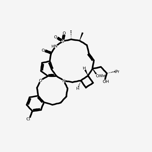 CO[C@]1(C[C@@H](O)C(C)C)/C=C/C[C@H](C)[C@@H](C)S(=O)(=O)NC(=O)c2ccc3c(c2)N(CCCCc2cc(Cl)ccc2CO3)C[C@@H]2CC[C@H]21